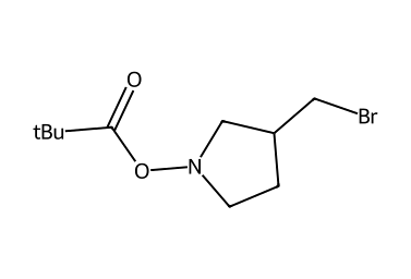 CC(C)(C)C(=O)ON1CCC(CBr)C1